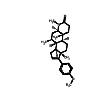 COc1ccc(C2=CC[C@H]3[C@@H]4[C@@H](C)C[C@H]5N(C)C(=O)CC[C@]5(C)[C@H]4CC[C@]23C)cc1